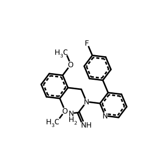 COc1cccc(OC)c1CN(C(=N)N)c1ncccc1-c1ccc(F)cc1